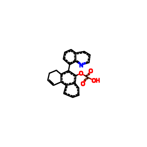 O=S(=O)(O)Oc1c(-c2cccc3cccnc23)c2c(c3ccccc13)C=CCC2